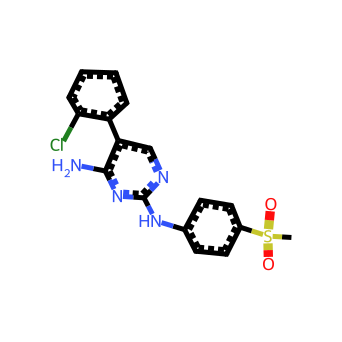 CS(=O)(=O)c1ccc(Nc2ncc(-c3ccccc3Cl)c(N)n2)cc1